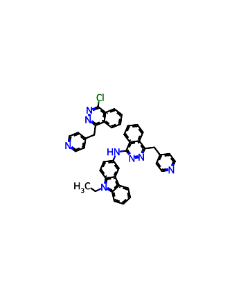 CCn1c2ccccc2c2cc(Nc3nnc(Cc4ccncc4)c4ccccc34)ccc21.Clc1nnc(Cc2ccncc2)c2ccccc12